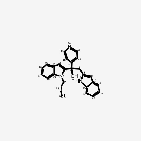 CCOCn1c(C(O)(Cc2cc3ccccc3[nH]2)c2ccncc2)cc2ccccc21